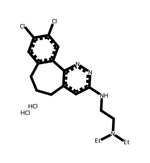 CCN(CC)CCNc1cc2c(nn1)-c1cc(Cl)c(Cl)cc1CCC2.Cl.Cl